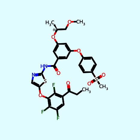 CCC(=O)c1cc(F)c(F)c(Oc2cnc(NC(=O)c3cc(Oc4ccc(S(C)(=O)=O)cc4)cc(O[C@@H](C)COC)c3)s2)c1F